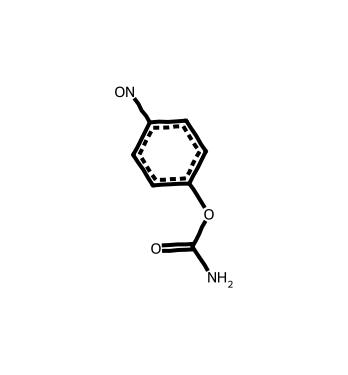 NC(=O)Oc1ccc(N=O)cc1